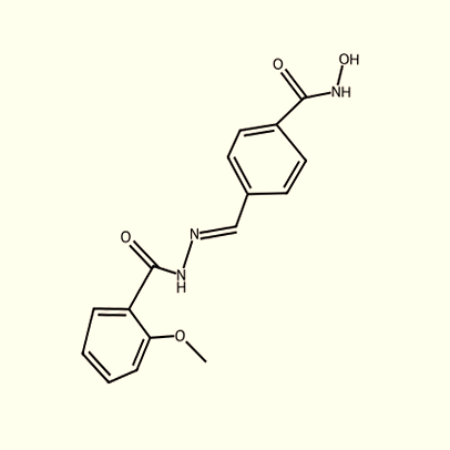 COc1ccccc1C(=O)N/N=C/c1ccc(C(=O)NO)cc1